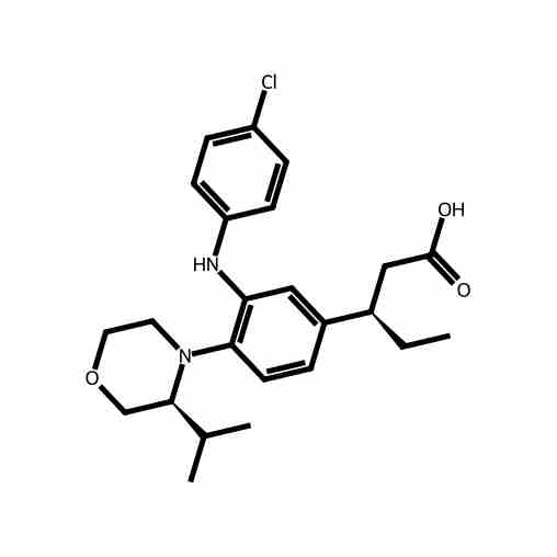 CC[C@H](CC(=O)O)c1ccc(N2CCOC[C@@H]2C(C)C)c(Nc2ccc(Cl)cc2)c1